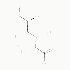 O=C([O-])[C@H](O)[C@@H](O)[C@H](O)[C@H](O)CO.[Au+]